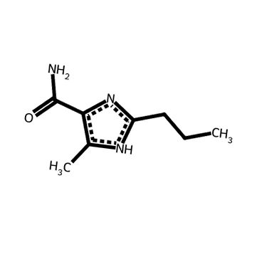 CCCc1nc(C(N)=O)c(C)[nH]1